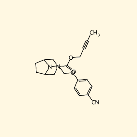 CC#CCOC(=O)N1CC2CCC(C1)N2CCOc1ccc(C#N)cc1